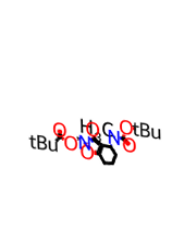 CN(C(=O)OC(C)(C)C)[C@@H]1CCCc2on(COC(=O)C(C)(C)C)c(=O)c21